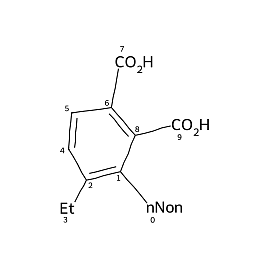 CCCCCCCCCc1c(CC)ccc(C(=O)O)c1C(=O)O